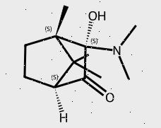 CN(C)[C@@]1(O)C(=O)[C@H]2CC[C@@]1(C)C2(C)C